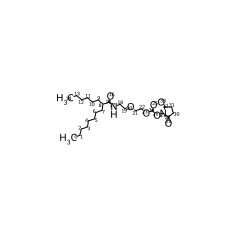 CCCCCCCCC(CCCCCC)C(=O)NCCOCCOC(=O)ON1C(=O)CCC1=O